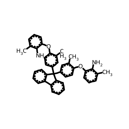 Cc1cc(C2(c3ccc(Oc4cccc(C)c4N)c(C)c3)c3ccccc3-c3ccccc32)ccc1Oc1cccc(C)c1N